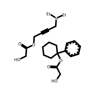 CCN(CC)CC#CCOC(=O)CO.O=C(CO)OC1(c2ccccc2)CCCCC1